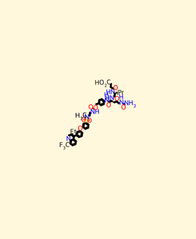 CCc1cnc2c(C(F)(F)F)cccc2c1-c1cccc(Oc2cccc(S(=O)(=O)N(C)CCNC(=O)OCc3ccc(NC(=O)[C@H](CCCNC(N)=O)NC(=O)[C@@H](NC(=O)CCC(=O)O)C(C)C)cc3)c2)c1